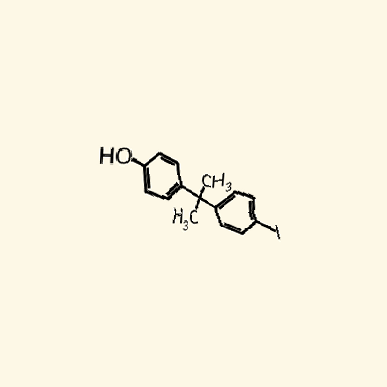 CC(C)(c1ccc(O)cc1)c1ccc(I)cc1